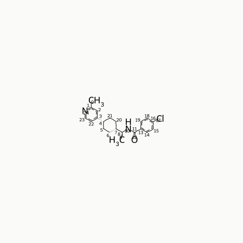 Cc1cc([C@H]2CC[C@@H]([C@H](C)NC(=O)c3ccc(Cl)cc3)CC2)ccn1